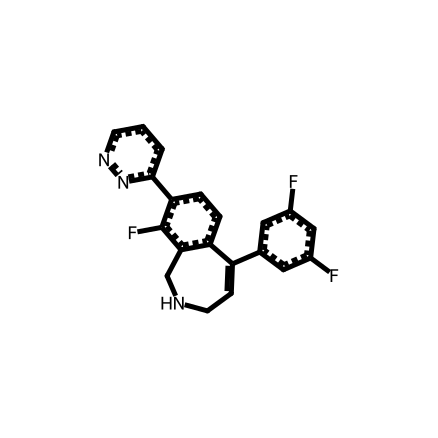 Fc1cc(F)cc(C2=CCNCc3c2ccc(-c2cccnn2)c3F)c1